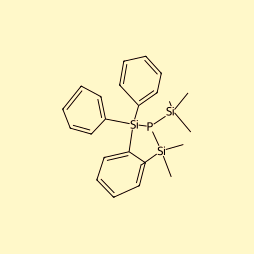 C[Si](C)(C)P([Si](C)(C)C)[Si](c1ccccc1)(c1ccccc1)c1ccccc1